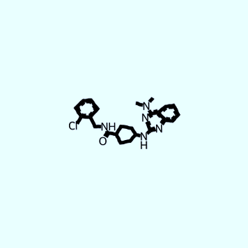 CN(C)c1nc(NC2CCC(C(=O)NCc3ccccc3Cl)CC2)nc2ccccc12